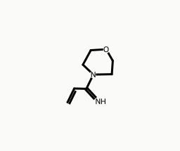 C=CC(=N)N1CCOCC1